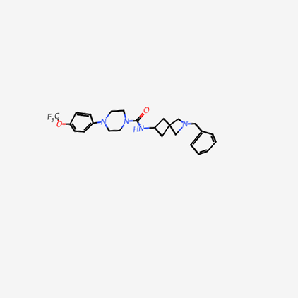 O=C(NC1CC2(C1)CN(Cc1ccccc1)C2)N1CCN(c2ccc(OC(F)(F)F)cc2)CC1